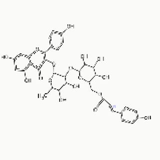 CC1OC(Oc2c(-c3ccc(O)cc3)oc3cc(O)cc(O)c3c2=O)C(OC2OC(COC(=O)/C=C/c3ccc(O)cc3)C(O)C(O)C2O)C(O)C1O